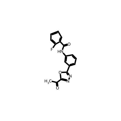 CC(=O)c1nnc(-c2cccc(NC(=O)c3ccccc3F)c2)o1